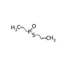 C=CCS[P](=O)CC=C